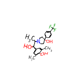 Cc1cc(C(O)C(C)N2CCC(O)(c3ccc(C(F)(F)F)cc3)CC2)cc(C)c1O